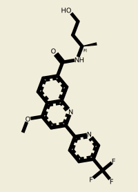 COc1cc(-c2ccc(C(F)(F)F)cn2)nc2cc(C(=O)N[C@H](C)CCO)ccc12